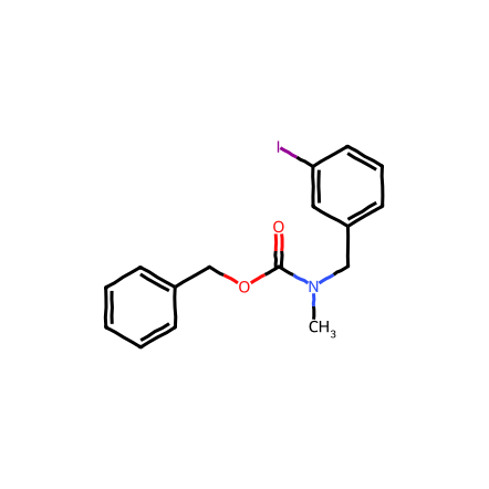 CN(Cc1cccc(I)c1)C(=O)OCc1ccccc1